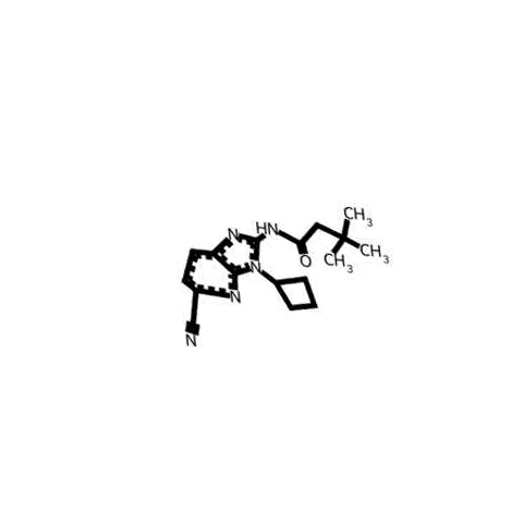 CC(C)(C)CC(=O)Nc1nc2ccc(C#N)nc2n1C1CCC1